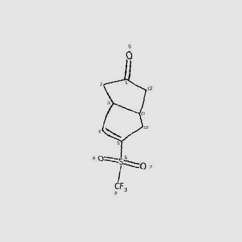 O=C1CC2C=C(S(=O)(=O)C(F)(F)F)CC2C1